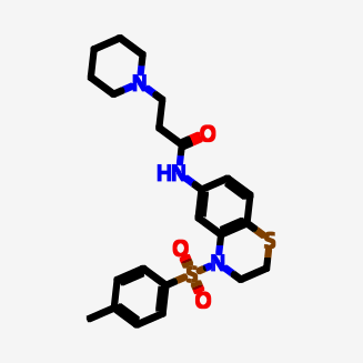 Cc1ccc(S(=O)(=O)N2CCSc3ccc(NC(=O)CCN4CCCCC4)cc32)cc1